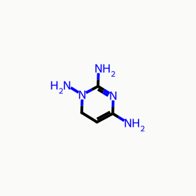 NC1=CCN(N)C(N)=N1